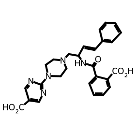 O=C(O)c1cnc(N2CCN(CC(/C=C/c3ccccc3)NC(=O)c3ccccc3C(=O)O)CC2)nc1